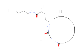 CCCCNC(=O)[C@H](C)C[C@H](O)[C@@H]1C[C@@H](C)CCCCCCCCC(=O)N[C@@H](C)C(=O)N1